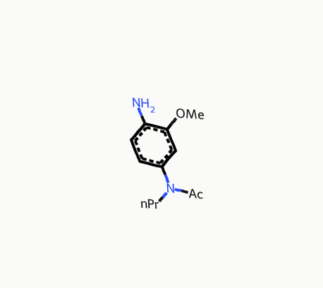 [CH2]CCN(C(C)=O)c1ccc(N)c(OC)c1